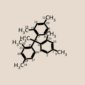 Cc1ccc(C(C)(c2ccc(C)cc2C)c2ccc(C)cc2C)c(C)c1